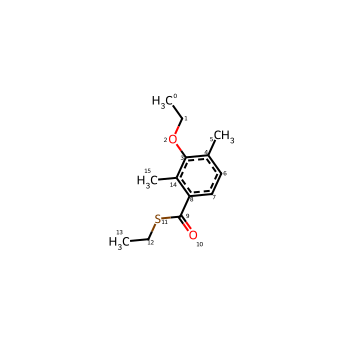 CCOc1c(C)ccc(C(=O)SCC)c1C